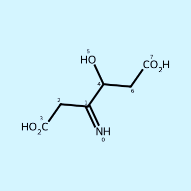 N=C(CC(=O)O)C(O)CC(=O)O